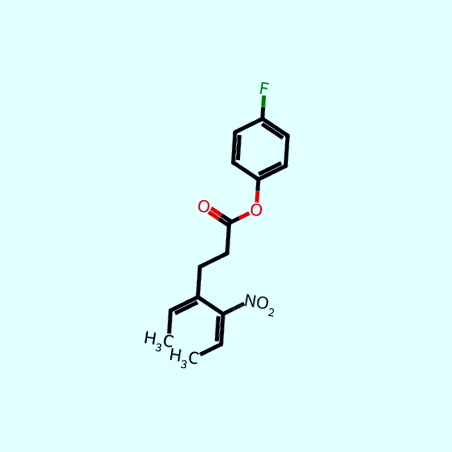 C/C=C(CCC(=O)Oc1ccc(F)cc1)\C(=C/C)[N+](=O)[O-]